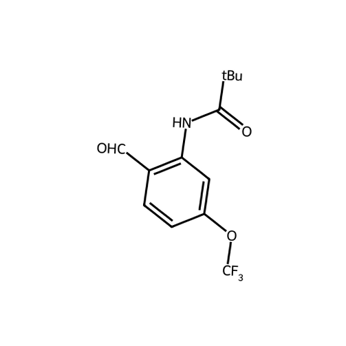 CC(C)(C)C(=O)Nc1cc(OC(F)(F)F)ccc1C=O